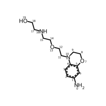 Nc1ccc2c(c1)OCCN2CCOCCNCCO